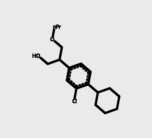 CCCOCC(CO)c1ccc(C2CCCCC2)c(Cl)c1